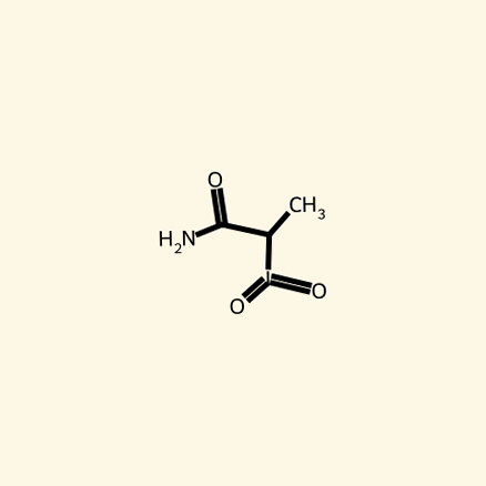 CC(C(N)=O)I(=O)=O